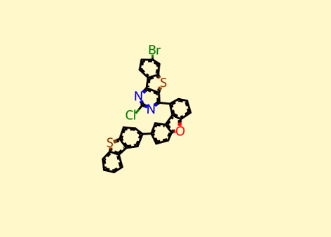 Clc1nc(-c2cccc3oc4ccc(-c5ccc6sc7ccccc7c6c5)cc4c23)c2sc3cc(Br)ccc3c2n1